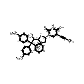 CC#Cc1cn([C@H]2C[C@H](O)[C@@H](C(O)C(c3ccccc3)(c3ccc(OC)cc3)c3ccc(OC)cc3)O2)c(=O)[nH]c1=O